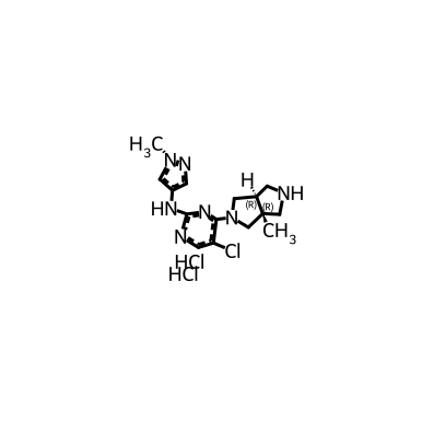 Cl.Cl.Cn1cc(Nc2ncc(Cl)c(N3C[C@H]4CNC[C@]4(C)C3)n2)cn1